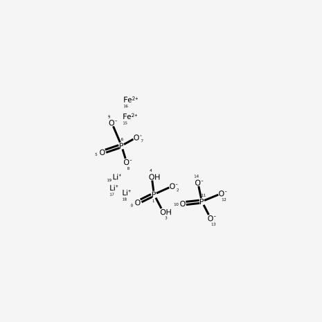 O=P([O-])(O)O.O=P([O-])([O-])[O-].O=P([O-])([O-])[O-].[Fe+2].[Fe+2].[Li+].[Li+].[Li+]